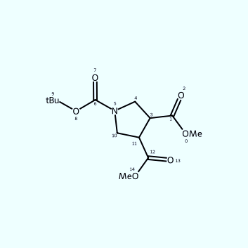 COC(=O)C1CN(C(=O)OC(C)(C)C)CC1C(=O)OC